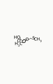 CSCCCOc1ccc(C)c(C(=O)CO)c1